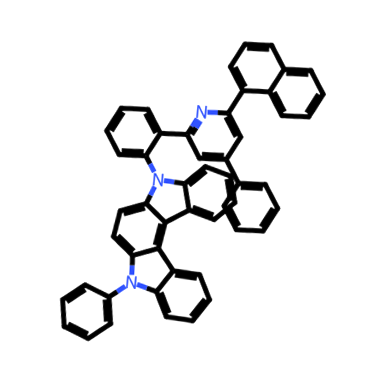 c1ccc(-c2cc(-c3ccccc3-n3c4ccccc4c4c5c6ccccc6n(-c6ccccc6)c5ccc43)nc(-c3cccc4ccccc34)c2)cc1